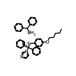 BC(c1ccccc1)c1ccccc1.CCCCCOc1ccc([SiH2]C(c2ccccc2)(c2ccccc2)n2ccnc2)cc1